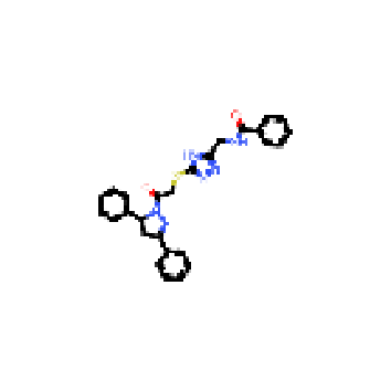 O=C(NCc1nnc(SCC(=O)N2N=C(c3ccccc3)CC2c2ccccc2)[nH]1)c1ccccc1